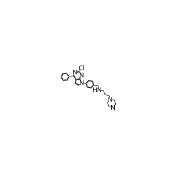 CN1CCN(CCCNCc2ccc(-n3ccc4c(-c5ccccc5)nc(Cl)nc43)cc2)CC1